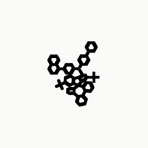 CC(C)(C)c1ccc2c(c1)C1(c3ccccc3-c3ccccc3-c3ccccc31)c1cc(C(C)(C)C)cc(N(c3ccc(-c4ccccc4)cc3)c3ccc(-c4cccc5ccccc45)cc3)c1-2